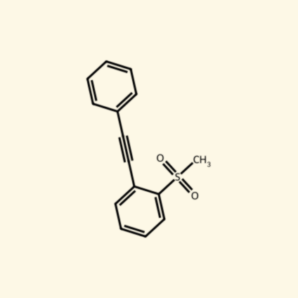 CS(=O)(=O)c1ccccc1C#Cc1ccccc1